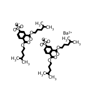 CC(C)CCCOC(=O)c1ccc(S(=O)(=O)[O-])cc1C(=O)OCCCC(C)C.CC(C)CCCOC(=O)c1ccc(S(=O)(=O)[O-])cc1C(=O)OCCCC(C)C.[Ba+2]